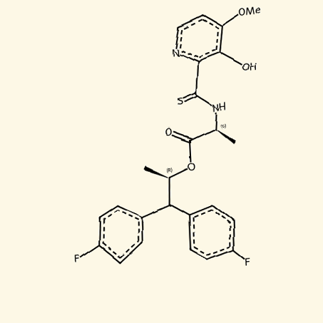 COc1ccnc(C(=S)N[C@@H](C)C(=O)O[C@H](C)C(c2ccc(F)cc2)c2ccc(F)cc2)c1O